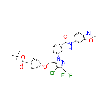 Cc1nc2ccc(NC(=O)c3cccc(-n4nc(C(F)(F)F)c(Cl)c4COc4ccc(C(=O)OC(C)(C)C)cc4)c3)cc2o1